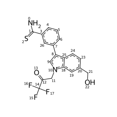 NC(=S)c1cccc(-c2cn(CC(=O)C(F)(F)F)c3cc(CO)ccc23)c1